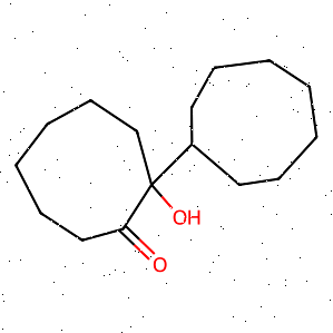 O=C1CCCCCCC1(O)C1CCCCCCC1